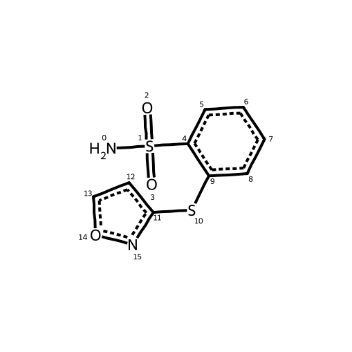 NS(=O)(=O)c1ccccc1Sc1ccon1